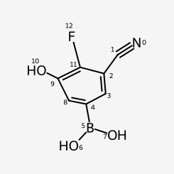 N#Cc1cc(B(O)O)cc(O)c1F